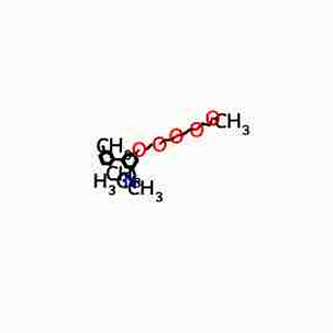 COCCOCCOCCOCCOc1cc(CN(C)C)cc(-c2cc(C)ccc2C)c1